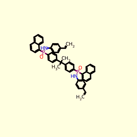 C=Cc1ccc(NP(=O)(c2ccc(C(C)(C)c3ccc(P(=O)(Nc4ccc(C=C)cc4)c4cccc5ccccc45)cc3)cc2)c2cccc3ccccc23)cc1